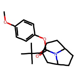 COc1ccc(OC(=O)N2C3CCC2CC(C(C)(C)C)CC3)cc1